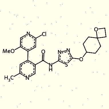 COc1cnc(Cl)cc1-c1cc(C)ncc1C(=O)Nc1nnc(OC2CCC3(CCO3)CC2)s1